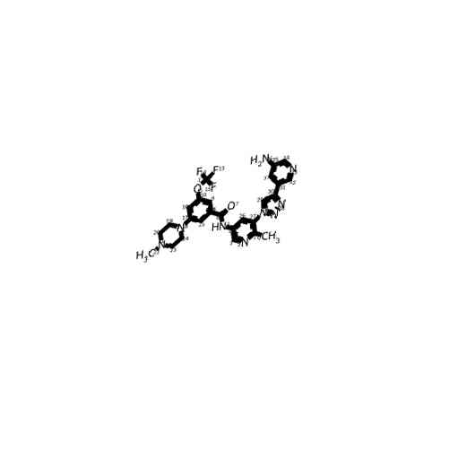 Cc1ncc(NC(=O)c2cc(OC(F)(F)F)cc(N3CCN(C)CC3)c2)cc1-n1cc(-c2cncc(N)c2)nn1